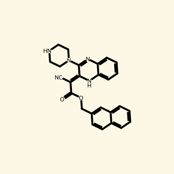 N#CC(C(=O)OCc1ccc2ccccc2c1)=C1Nc2ccccc2N=C1N1CCNCC1